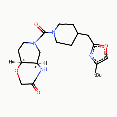 CC(C)(C)c1coc(CC2CCN(C(=O)N3CC[C@@H]4OCC(=O)N[C@@H]4C3)CC2)n1